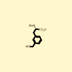 CN[C@@H](Cc1cccc(CC#N)c1)C(=O)O